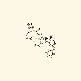 O=C(CCC(NCc1cc(Oc2ccccc2)ncc1[N+](=O)[O-])C1CCCCC1)N(CCO)C1CCCCC1